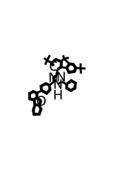 CC(C)(C)c1ccc2c(c1)C(C)(C)c1cc(C(C)(C)C)cc(C3=NC(c4ccc(-c5cccc6c5oc5ccccc56)cc4)NC(c4ccccc4)=N3)c1-2